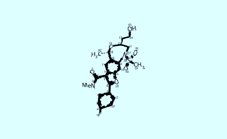 CNC(=O)c1c(-c2ccc(F)cc2)oc2cc3c(cc12)[C@H](C)O[C@@H](CCO)CN3S(C)(=O)=O